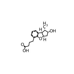 C[C@H]1[C@@H]2c3cccc(CCCC(=O)O)c3O[C@@H]2C[C@@H]1O